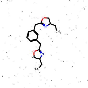 CCC1COC(Cc2cccc(CC3=NC(CC)CO3)c2)=N1